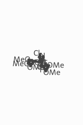 COc1cc(OC)c(F)c(C(=O)c2oc3cnc(Cl)cc3c2OCc2cc(OC)c(OC)c(OC)c2)c1F